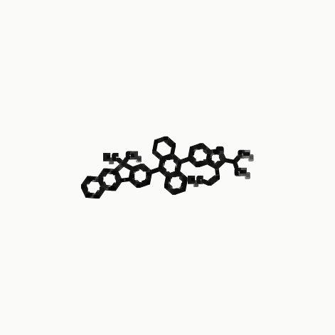 C/C=C\c1c(C(C)C)oc2ccc(-c3c4c(c(-c5ccc6c(c5)C(C)(C)c5cc7ccccc7cc5-6)c5ccccc35)CCC=C4)cc12